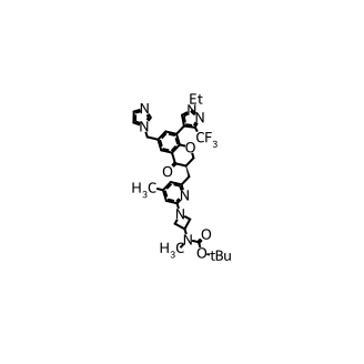 CCn1cc(-c2cc(Cn3ccnc3)cc3c2OC[C@@H](Cc2cc(C)cc(N4CC(N(C)C(=O)OC(C)(C)C)C4)n2)C3=O)c(C(F)(F)F)n1